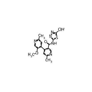 COc1cnc(C)cc1-c1cc(C)ncc1C(=O)Nc1nnc(O)s1